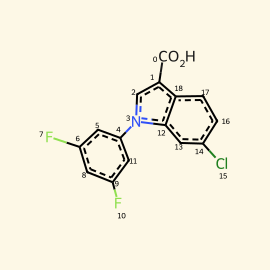 O=C(O)c1cn(-c2cc(F)cc(F)c2)c2cc(Cl)ccc12